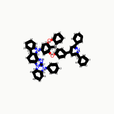 c1ccc(-c2cc(-c3ccc4c(c3)B3c5ccccc5Oc5cc(-n6c7ccccc7c7ccc8c(nc9n(-c%10ccccc%10)c%10ccccc%10n89)c76)cc(c53)O4)cc(-c3ccccc3)n2)cc1